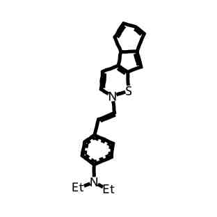 CCN(CC)c1ccc(C=CN2C=CC3=C(C=C4C=CC=CC43)S2)cc1